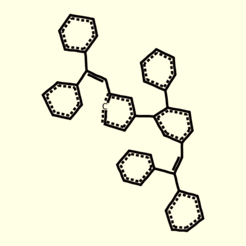 C(=C(c1ccccc1)c1ccccc1)c1cccc(-c2cc(C=C(c3ccccc3)c3ccccc3)ccc2-c2ccccc2)c1